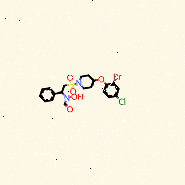 O=CN(O)C(CS(=O)(=O)N1CCC(Oc2ccc(Cl)cc2Br)CC1)c1ccccc1